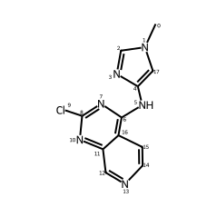 Cn1cnc(Nc2nc(Cl)nc3cnccc23)c1